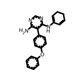 Nc1ncnc(NC2=CC[CH]C=C2)c1-c1ccc(Oc2ccccc2)cc1